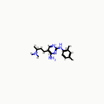 Cc1ccc(Nc2ncc(CCC(C)N(C)C)c(N)n2)c(C)c1